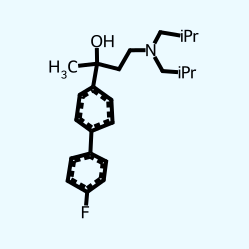 CC(C)CN(CCC(C)(O)c1ccc(-c2ccc(F)cc2)cc1)CC(C)C